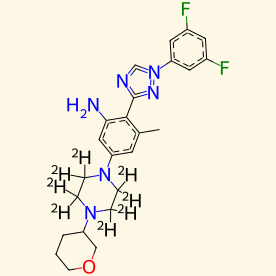 [2H]C1([2H])N(c2cc(C)c(-c3ncn(-c4cc(F)cc(F)c4)n3)c(N)c2)C([2H])([2H])C([2H])([2H])N(C2CCCOC2)C1([2H])[2H]